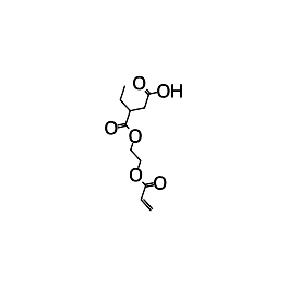 C=CC(=O)OCCOC(=O)C(CC)CC(=O)O